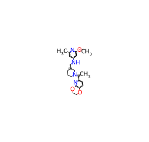 COc1cc(NC[C@@H]2CCCN([C@@H](C)c3ccc4c(n3)OCCO4)C2)cc(C)n1